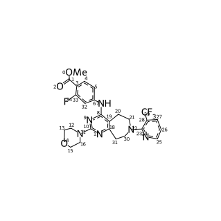 COC(=O)c1ccc(Nc2nc(N3CCOCC3)nc3c2CCN(c2ncccc2C(F)(F)F)CC3)cc1F